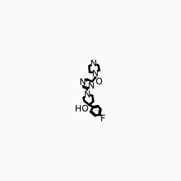 CN1CCN(C(=O)c2cncc(N3CCC(O)(c4ccc(F)cc4)CC3)n2)CC1